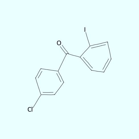 O=C(c1ccc(Cl)cc1)c1ccccc1I